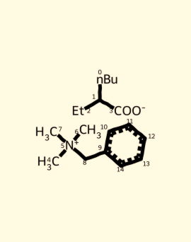 CCCCC(CC)C(=O)[O-].C[N+](C)(C)Cc1ccccc1